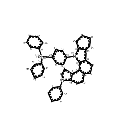 c1ccc(-n2ccc3c4c(ccc5c6ccccc6n(-c6ccc([SiH](c7ccccc7)c7ccccc7)cc6)c54)ccc32)cc1